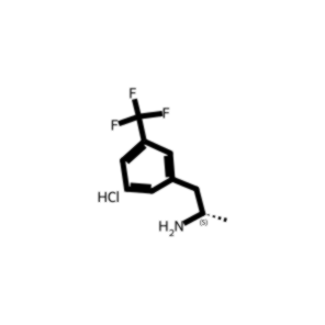 C[C@H](N)Cc1cccc(C(F)(F)F)c1.Cl